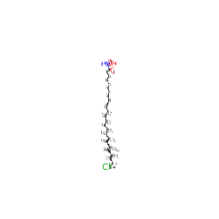 O=C(CCCCCCCCCCCCCCCCCCCCCCCl)NO